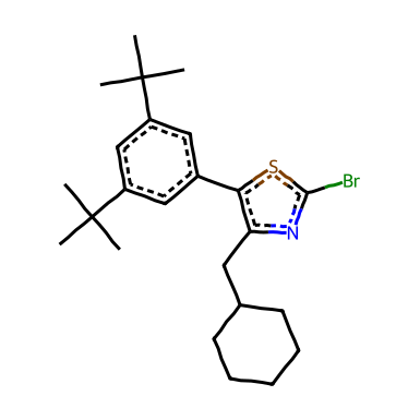 CC(C)(C)c1cc(-c2sc(Br)nc2CC2CCCCC2)cc(C(C)(C)C)c1